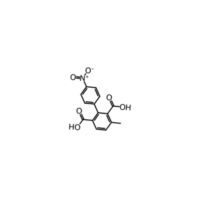 Cc1ccc(C(=O)O)c(-c2ccc([N+](=O)[O-])cc2)c1C(=O)O